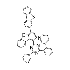 c1ccc(-c2nc(-c3ccccc3-c3cccnc3)nc(-c3ccc(-c4ccc5c(c4)sc4ccccc45)c4oc5ccccc5c34)n2)cc1